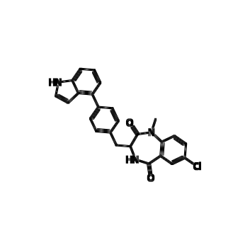 CN1C(=O)C(Cc2ccc(-c3cccc4[nH]ccc34)cc2)NC(=O)c2cc(Cl)ccc21